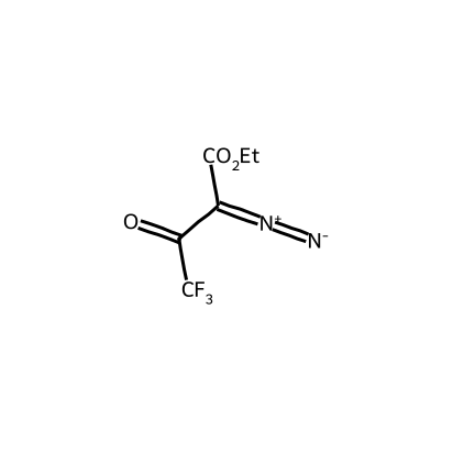 CCOC(=O)C(=[N+]=[N-])C(=O)C(F)(F)F